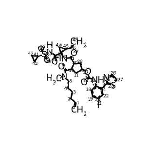 C=CCCCCN(C)C(=O)C1CC(OC(=O)Nc2ccc(F)cc2-c2nccs2)CC1C(=O)NC1(C(=O)NS(=O)(=O)C2CC2)CC1C=C